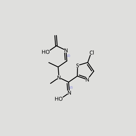 C=C(O)/N=C\C(C)N(C)/C(=N\O)c1ncc(Cl)s1